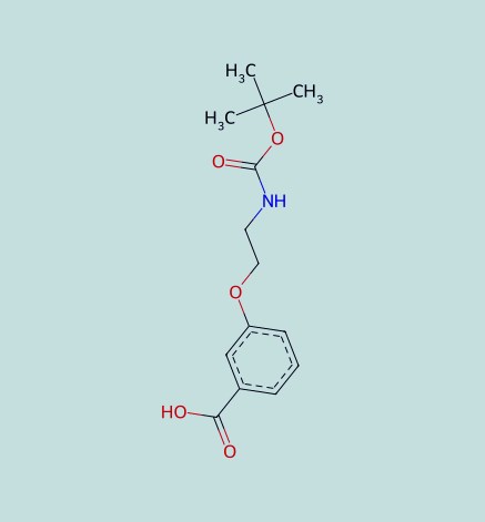 CC(C)(C)OC(=O)NCCOc1cccc(C(=O)O)c1